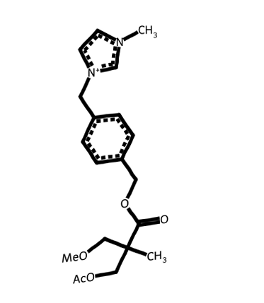 COCC(C)(COC(C)=O)C(=O)OCc1ccc(C[n+]2ccn(C)c2)cc1